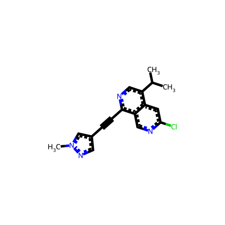 CC(C)c1cnc(C#Cc2cnn(C)c2)c2cnc(Cl)cc12